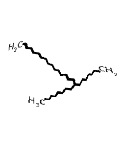 C=CCCCCCCC(CCCCCCCCC)CCCCCCCCCCCCCC=CC